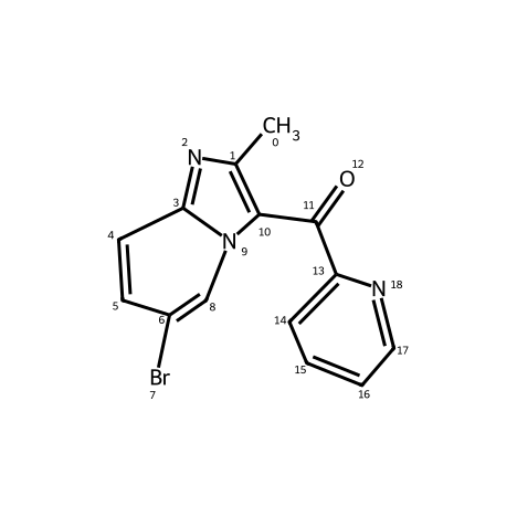 Cc1nc2ccc(Br)cn2c1C(=O)c1ccccn1